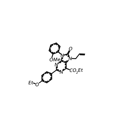 C=CCn1c(=O)n(-c2ccccc2OC)c2nc(-c3ccc(OCC)cc3)nc(C(=O)OCC)c21